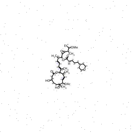 CCC(OC)C(C)C1OC1C(OC(=O)NCCCN1CCOCC1)C(C)/C=C/C=C(\C)C1OC(=O)CC(O)CCC(C)(O)C(OC(C)=O)/C=C/C1C